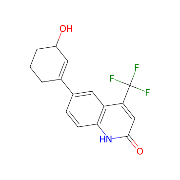 O=c1cc(C(F)(F)F)c2cc(C3=CC(O)CCC3)ccc2[nH]1